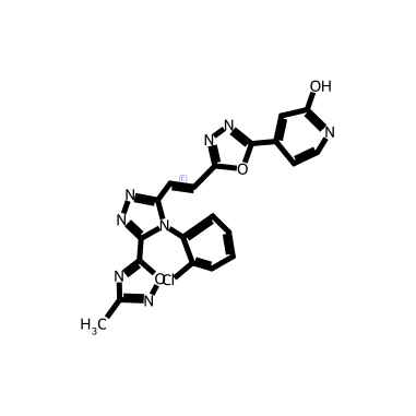 Cc1noc(-c2nnc(/C=C/c3nnc(-c4ccnc(O)c4)o3)n2-c2ccccc2Cl)n1